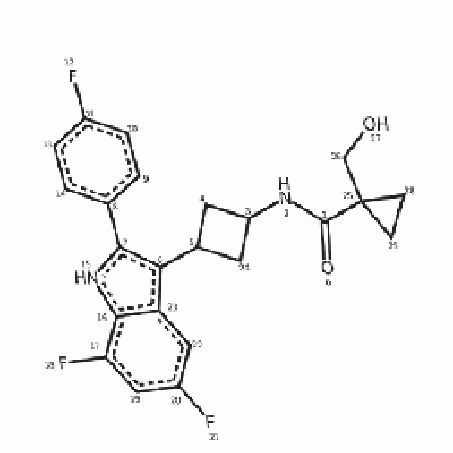 O=C(NC1CC(c2c(-c3ccc(F)cc3)[nH]c3c(F)cc(F)cc23)C1)C1(CO)CC1